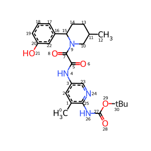 Cc1cc(NC(=O)C(=O)N2CC(C)CCC2c2cccc(O)c2)cnc1NC(=O)OC(C)(C)C